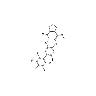 COC(=O)[C@@H]1CCCN1C(=O)COc1cc(-c2c(F)c(F)c(F)c(F)c2F)c(F)cc1Cl